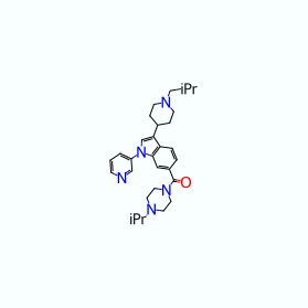 CC(C)CN1CCC(c2cn(-c3cccnc3)c3cc(C(=O)N4CCN(C(C)C)CC4)ccc23)CC1